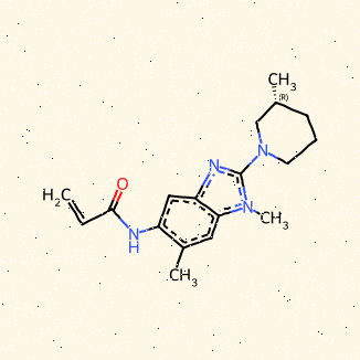 C=CC(=O)Nc1cc2nc(N3CCC[C@@H](C)C3)n(C)c2cc1C